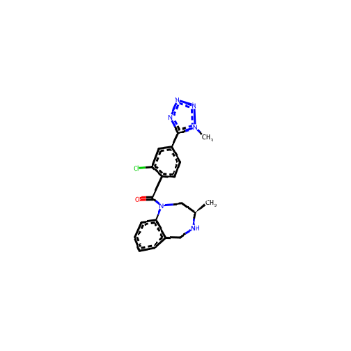 C[C@@H]1CN(C(=O)c2ccc(-c3nnnn3C)cc2Cl)c2ccccc2CN1